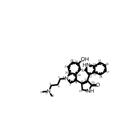 CN(C)CCCn1cc(C2=C(c3c[nH]c4ccccc34)C(=O)NC2)c2cc(O)ccc21